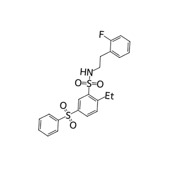 CCc1ccc(S(=O)(=O)c2ccccc2)cc1S(=O)(=O)NCCc1ccccc1F